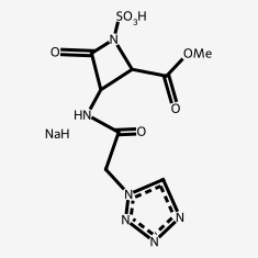 COC(=O)C1C(NC(=O)Cn2cnnn2)C(=O)N1S(=O)(=O)O.[NaH]